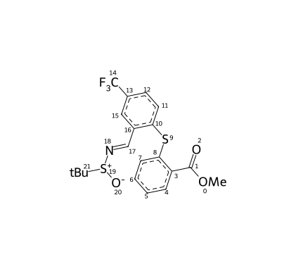 COC(=O)c1ccccc1Sc1ccc(C(F)(F)F)cc1C=N[S+]([O-])C(C)(C)C